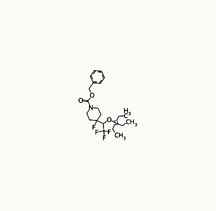 CC[Si](CC)(CC)OC(C(F)(F)F)C1(F)CCN(C(=O)OCc2ccccc2)CC1